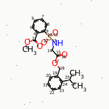 COC(=O)c1ccccc1S(=O)(=O)NCC(=O)OCc1ccccc1C(C)C